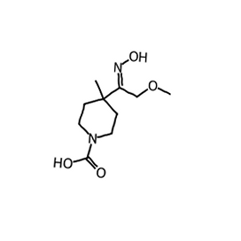 COCC(=NO)C1(C)CCN(C(=O)O)CC1